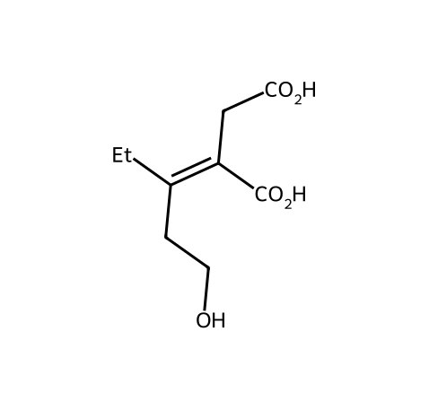 CCC(CCO)=C(CC(=O)O)C(=O)O